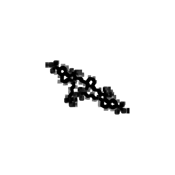 CC1(C)C(=CC=C2CCCC(C=CC3=[N+](CCCCS(=O)(=O)O)c4ccc5cc(S(=O)(=O)O)ccc5c4C3(C)C)=C2Cl)N(CCCCS(=O)(=O)O)c2ccc3cc(S(=O)(=O)O)ccc3c21